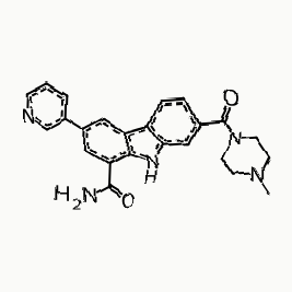 CN1CCN(C(=O)c2ccc3c(c2)[nH]c2c(C(N)=O)cc(-c4cccnc4)cc23)CC1